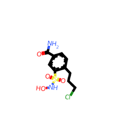 NC(=O)c1ccc(CCCCl)c(S(=O)(=O)NO)c1